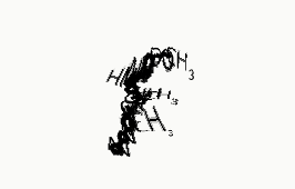 COCCOc1ccc(-c2n[nH]c3ccc(NC(=O)[C@]4(OC)CCN(CC(=O)N5CCN(c6ccc(-c7ncccn7)cn6)C[C@H]5C)C4)cc23)cc1